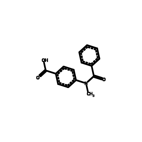 CN(C(=O)c1ccccc1)c1ccc(C(=O)O)cc1